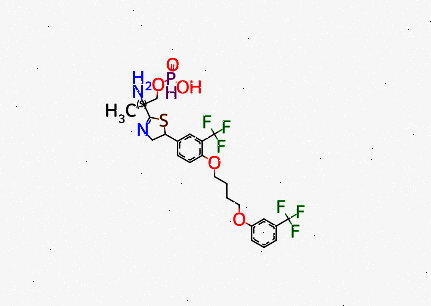 C[C@](N)(CO[PH](=O)O)C1=NCC(c2ccc(OCCCCOc3cccc(C(F)(F)F)c3)c(C(F)(F)F)c2)S1